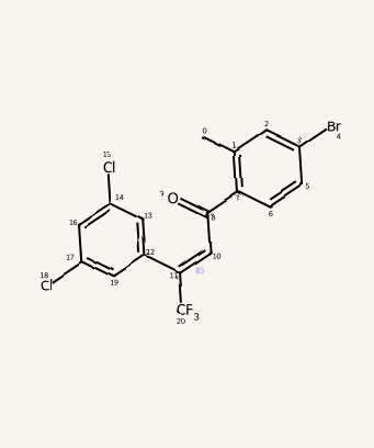 Cc1cc(Br)ccc1C(=O)/C=C(\c1cc(Cl)cc(Cl)c1)C(F)(F)F